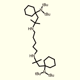 CC(C)(CC1(N(C(C)(C)C)C(C)(C)C)CCCCC1)NCCCCCNC(C)(C)CC1(N(C(C)(C)C)C(C)(C)C)CCCCC1